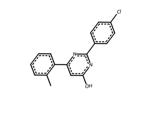 Cc1ccccc1-c1cc(O)nc(-c2ccc(Cl)cc2)n1